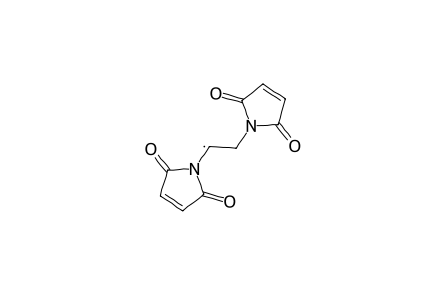 O=C1C=CC(=O)N1[CH]CN1C(=O)C=CC1=O